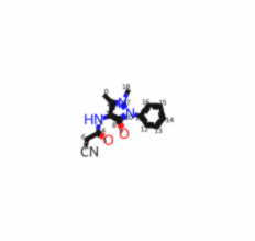 Cc1c(NC(=O)CC#N)c(=O)n(-c2ccccc2)n1C